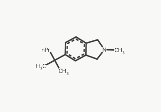 CCCC(C)(C)c1ccc2c(c1)CN(C)C2